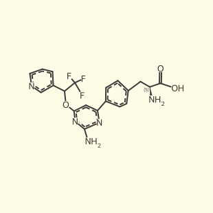 Nc1nc(OC(c2cccnc2)C(F)(F)F)cc(-c2ccc(C[C@H](N)C(=O)O)cc2)n1